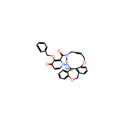 O=C1c2c(OCc3ccccc3)c(=O)ccn2N2CN1C/C=C\COc1cccc3c1[C@H]2c1ccccc1OC3